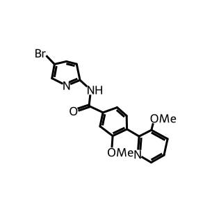 COc1cc(C(=O)Nc2ccc(Br)cn2)ccc1-c1ncccc1OC